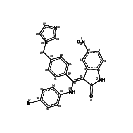 O=C1Nc2ccc([N+](=O)[O-])cc2C1=C(Nc1ccc(Br)cc1)c1ccc(Cn2ccnc2)cc1